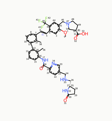 COc1cc(/C=C/c2cccc(-c3cccc(NC(=O)c4ccc(CNC[C@@H]5CCC(=O)N5)cn4)c3C)c2C)c(C(F)(F)F)cc1CN1CC[C@@H](C(=O)O)C1